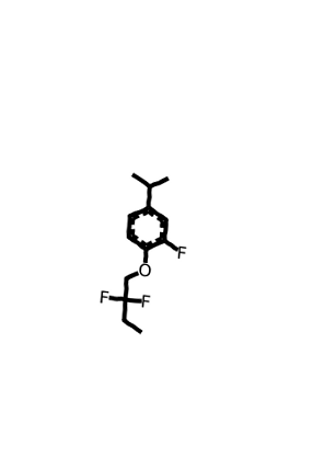 CCC(F)(F)COc1ccc(C(C)C)cc1F